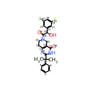 CC(C)(c1ccccc1)c1nc2c(c(=O)[nH]1)CN(C(=O)C(O)c1cc(F)cc(F)c1)CC2